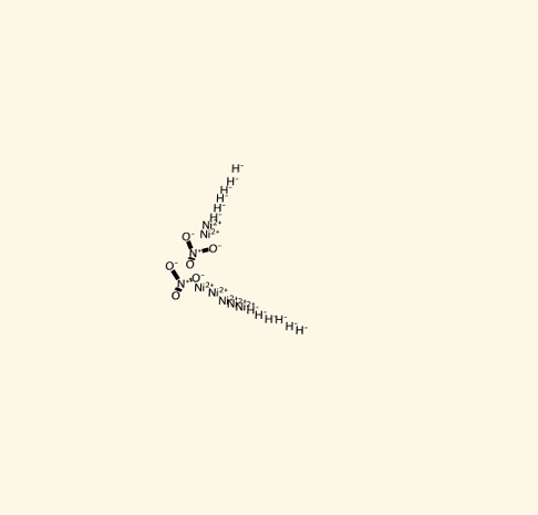 O=[N+]([O-])[O-].O=[N+]([O-])[O-].[H-].[H-].[H-].[H-].[H-].[H-].[H-].[H-].[H-].[H-].[H-].[H-].[Ni+2].[Ni+2].[Ni+2].[Ni+2].[Ni+2].[Ni+2].[Ni+2]